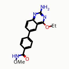 CCOc1nc(N)nc2ccc(-c3ccc(C(=O)NOC)cc3)cc12